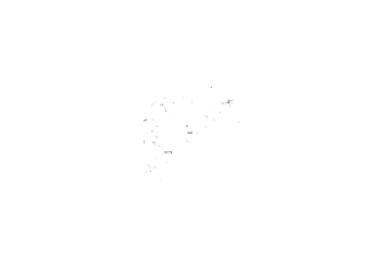 CCCCCCCCCCC(CCC(C)CCCC(C)C)C(=O)O.CCCCCCCCCCCC(=O)OCCCCCCCC(C)C